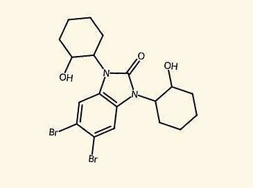 O=c1n(C2CCCCC2O)c2cc(Br)c(Br)cc2n1C1CCCCC1O